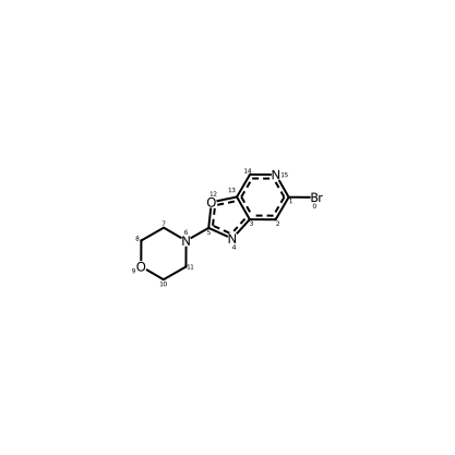 Brc1cc2nc(N3CCOCC3)oc2cn1